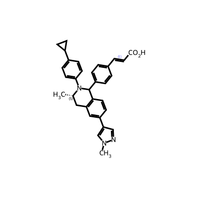 C[C@H]1Cc2cc(-c3cnn(C)c3)ccc2C(c2ccc(/C=C/C(=O)O)cc2)N1c1ccc(C2CC2)cc1